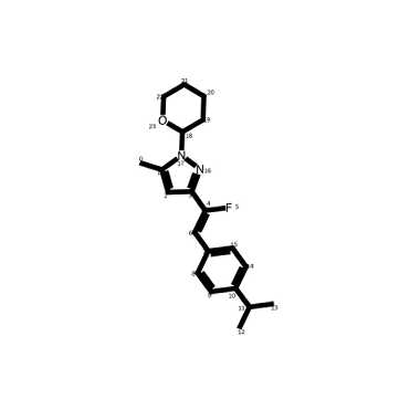 Cc1cc(C(F)=Cc2ccc(C(C)C)cc2)nn1C1CCCCO1